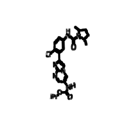 CC(C)OC(=O)Nc1cnc2nc(-c3cc(NC(=O)N4C(C)CCC4C)ccc3Cl)cn2c1